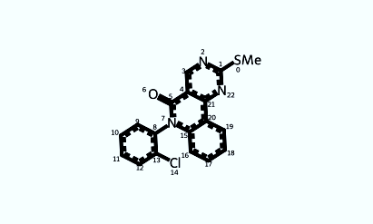 CSc1ncc2c(=O)n(-c3ccccc3Cl)c3ccccc3c2n1